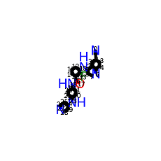 N#Cc1ccc2nccc(Nc3cccc(C(=O)Nc4ccc(Nc5ccncc5)cc4)c3F)c2c1